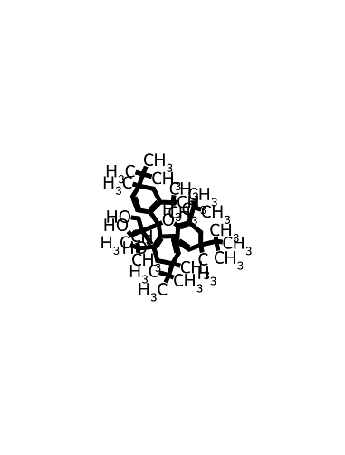 CC(C)(C)C1=C(OC(C2=C(C(C)(C)C)CC(C)(C(C)(C)C)C=C2)(C2=C(C(C)(C)C)CC(C)(C(C)(C)C)C=C2)C(CO)(CO)CO)C=CC(C)(C(C)(C)C)C1